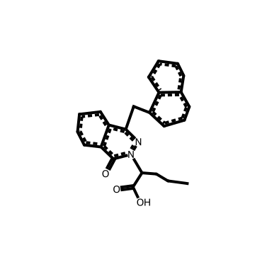 CCCC(C(=O)O)n1nc(Cc2cccc3ccccc23)c2ccccc2c1=O